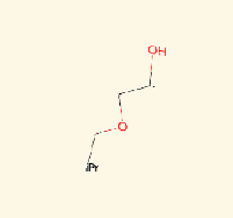 CC(C)COC[CH]O